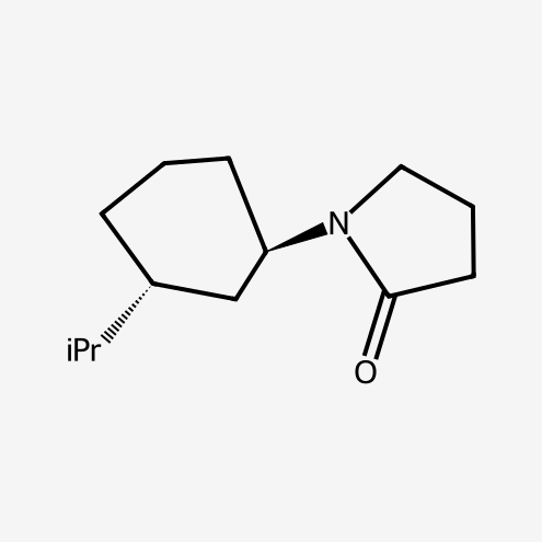 CC(C)[C@@H]1CCC[C@@H](N2CCCC2=O)C1